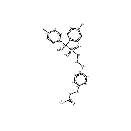 CCCC(c1ccc(C)cc1)(c1ccc(C)cc1)S(=O)(=O)CCOc1ccc(CCC(=O)C(F)(F)F)cc1